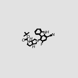 CC(C)(C)OC(=O)N1CC[C@@H]2CN(c3c(F)cc(C#N)c4[nH]c5ccccc5c34)C[C@@H]21